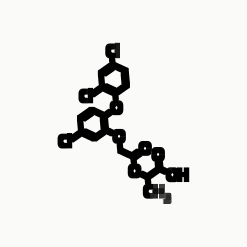 CC(OC(=O)COc1cc(Cl)ccc1Oc1ccc(Cl)cc1Cl)C(=O)O